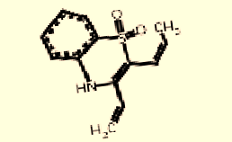 C=CC1=C(/C=C\C)S(=O)(=O)c2ccccc2N1